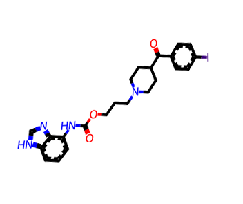 O=C(Nc1cccc2[nH]cnc12)OCCCN1CCC(C(=O)c2ccc(I)cc2)CC1